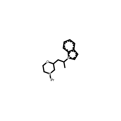 CC(C)N1CCOC(CC(C)n2ccc3ccccc32)C1